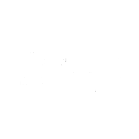 C=Cc1cccc2c1C(NC(=O)OC(C)(C)C)CO2